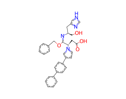 O=C(O)C[C@H](C(=N[C@H](CO)Cc1c[nH]cn1)OCc1ccccc1)n1ccc(-c2ccc(-c3ccccc3)cc2)c1